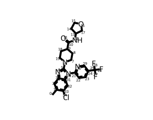 Cc1cc2nc(N3CCC(C(=O)NC4CCOC4)CC3)n(-c3ccc(C(F)(F)F)cn3)c2cc1Cl